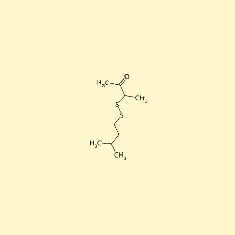 CC(=O)C(C)SSCCC(C)C